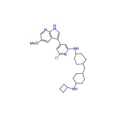 COc1cnc2[nH]cc(-c3cc(Cl)nc(NC4CCC(CC5CCC(NC6CCC6)CC5)CC4)c3)c2c1